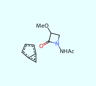 COC1CN(NC(C)=O)C1=O.c1cc2cc-2c1